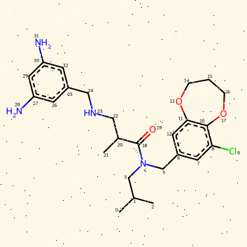 CC(C)CN(Cc1cc(Cl)c2c(c1)OCCCO2)C(=O)C(C)CNCc1cc(N)cc(N)c1